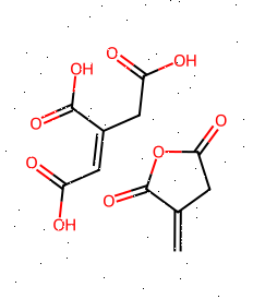 C=C1CC(=O)OC1=O.O=C(O)C=C(CC(=O)O)C(=O)O